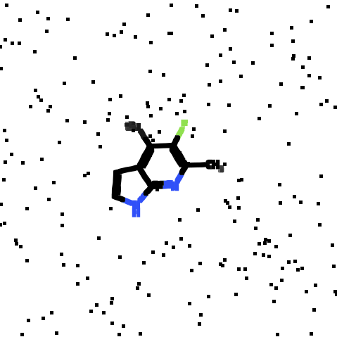 Cc1nc2[nH]ccc2c(C(C)(C)C)c1F